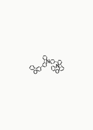 c1ccc2c(c1)Oc1cccc3c4cccc(-c5ccc(-n6c7ccccc7c7cc(-c8ccc9oc%10ccccc%10c9c8)ccc76)cc5)c4n-2c13